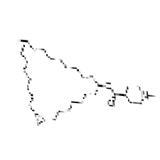 CCCCCCCCCCC(CCCCCCCC1CC1CCCCCCCC)OC(=O)C1CCN(C)CC1